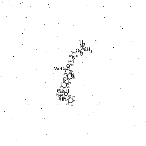 COc1cc2c(Oc3ccc(NC(=O)C4(C(=O)Nc5ccccc5)CC4)cc3F)ccnc2cc1OCCCN1CCC(OC(=O)C(C)N)C1